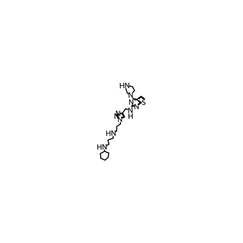 c1cc2c(N3CCNCC3)nc(NCc3cn(CCCNCCCNC4CCCCC4)nn3)nc2s1